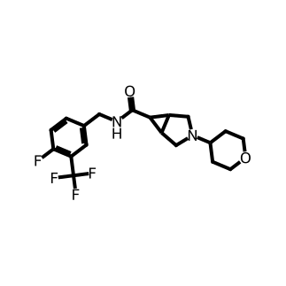 O=C(NCc1ccc(F)c(C(F)(F)F)c1)C1C2CN(C3CCOCC3)CC21